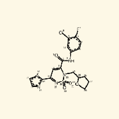 O=C(Nc1ccc(F)c(Cl)c1)C1=CC(c2nccs2)=NS(=O)(=O)N1CC1CCCO1